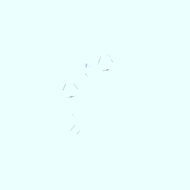 COc1ccc(NC(=O)Cc2ccc3c(c2)CCN(C2=CC=C2)CC3)cn1